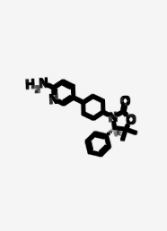 CC1(C)OC(=O)N(C2CCC(c3ccc(N)nc3)CC2)[C@H]1c1ccccc1